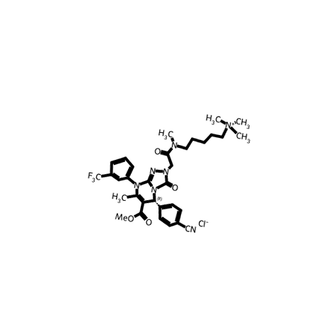 COC(=O)C1=C(C)N(c2cccc(C(F)(F)F)c2)c2nn(CC(=O)N(C)CCCCC[N+](C)(C)C)c(=O)n2[C@@H]1c1ccc(C#N)cc1.[Cl-]